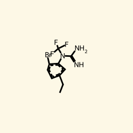 CCc1ccc(Br)c(N(C(=N)N)C(F)(F)F)c1